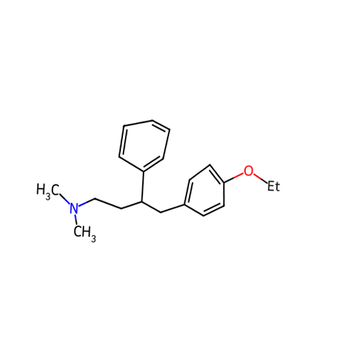 CCOc1ccc(CC(CCN(C)C)c2ccccc2)cc1